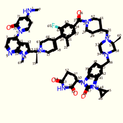 CNc1ccn(-c2ccnc3c2cc([C@H](C)N2CC=C(c4c(C)cc(C(=O)N5CCC(CN6CCN(Cc7ccc8c(c7)n(C7CC7)c(=O)n8C7CCC(=O)NC7=O)C[C@@H]6C)CC5)cc4F)CC2)n3C)c(=O)c1